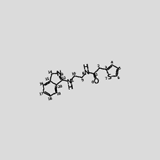 O=C(Cc1cccs1)NCCNC1=NCc2ccccc21